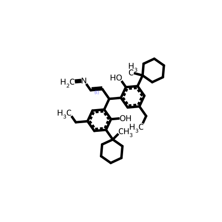 C=N/C=C/C(c1cc(CC)cc(C2(C)CCCCC2)c1O)c1cc(CC)cc(C2(C)CCCCC2)c1O